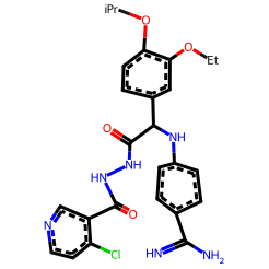 CCOc1cc(C(Nc2ccc(C(=N)N)cc2)C(=O)NNC(=O)c2cnccc2Cl)ccc1OC(C)C